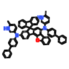 CC1=CC=C(N(c2ccc(-c3ccccc3)cc2)c2ccc3c(c2)C2(c4ccccc4-c4ccccc42)c2cc(N(C4=CC=C(C)NC4)c4ccc(-c5ccccc5)cc4)c4c(oc5ccccc54)c2-3)CN1